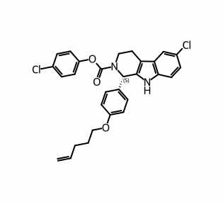 C=CCCCOc1ccc([C@H]2c3[nH]c4ccc(Cl)cc4c3CCN2C(=O)Oc2ccc(Cl)cc2)cc1